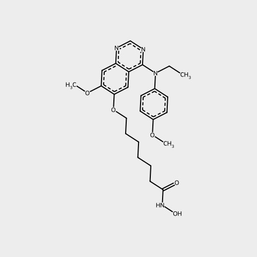 CCN(c1ccc(OC)cc1)c1ncnc2cc(OC)c(OCCCCCCC(=O)NO)cc12